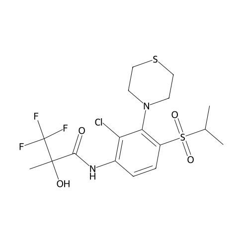 CC(C)S(=O)(=O)c1ccc(NC(=O)C(C)(O)C(F)(F)F)c(Cl)c1N1CCSCC1